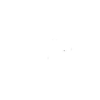 C[C@@H](O)[C@@H](O)[C@H](O)CC=O